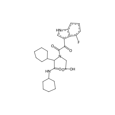 O=C(O)CN(C(=O)C(=O)c1c[nH]c2cccc(F)c12)C(C(=O)NC1CCCCC1)C1CCCCC1